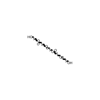 O=C(CSCCOOCSCOC(=O)CSCCOOCCSCO)OCCSCO